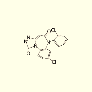 O=c1cc2nnc(=O)n-2c2ccc(Cl)cc2n1-c1ccccc1Cl